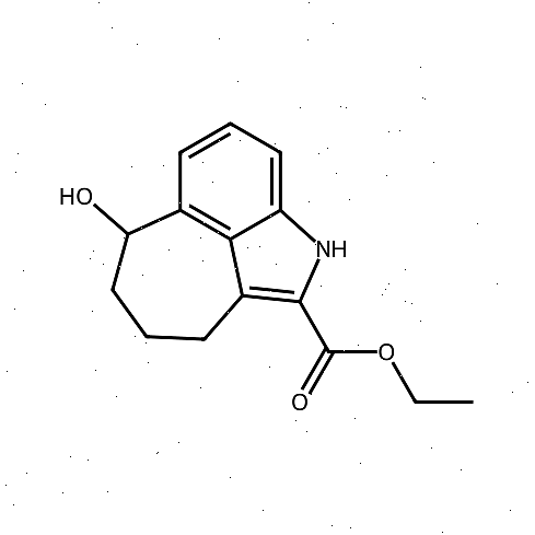 CCOC(=O)c1[nH]c2cccc3c2c1CCCC3O